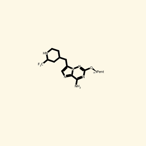 CCC[C@H](C)Oc1nc(N)c2ncc(CC3CCNC(C(F)(F)F)C3)n2n1